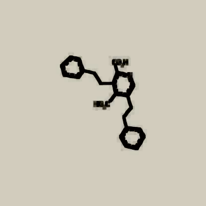 O=C(O)c1ncc(CCc2ccccc2)c(C(=O)O)c1CCc1ccccc1